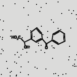 O=C(c1ccccc1)c1cccc(C(O)C(=O)O)c1